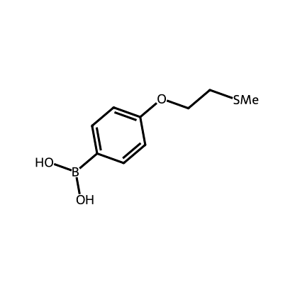 CSCCOc1ccc(B(O)O)cc1